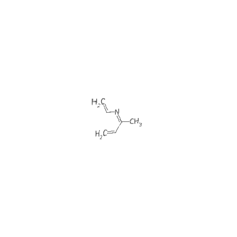 C=C/N=C(/C)C=C